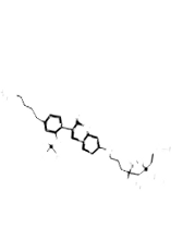 CCCCCc1ccc(-c2cc3ccc(OCCCC(C)(C)CC(C)(C)CCO)cc3oc2=O)c(OC(F)(F)F)c1